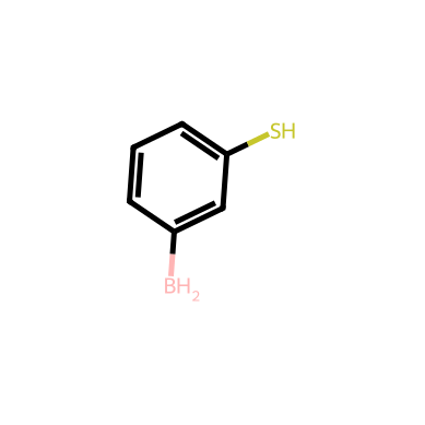 Bc1cccc(S)c1